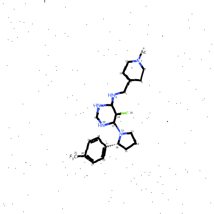 CC(=O)N1CCC(CNC2NCNC(N3CCC[C@@H]3c3ccc(C(F)(F)F)cc3)C2F)CC1